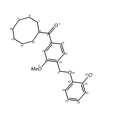 COc1cc(C(=O)C2CCCCCCC2)ccc1COc1ccccc1Cl